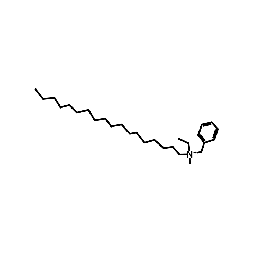 CCCCCCCCCCCCCCCCCC[N+](C)(CC)Cc1ccccc1